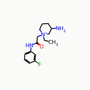 CC[N+]1(CC(=O)Nc2cccc(F)c2)CCCC(N)C1